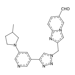 CC1CCN(c2cncc(-c3cn(Cc4cn5cc(C=O)ccc5n4)nn3)c2)C1